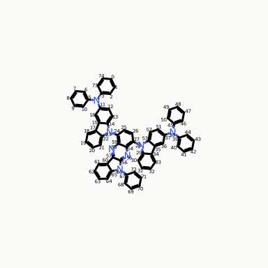 c1ccc(N(c2ccccc2)c2ccc3c(c2)c2ccccc2n3-c2ccc(-n3c4ccccc4c4cc(N(c5ccccc5)c5ccccc5)ccc43)c3nc4c(nc23)c2ccccc2n4-c2ccccc2)cc1